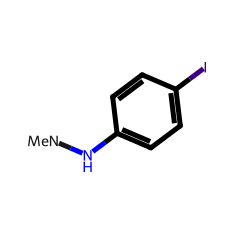 CNNc1ccc(I)cc1